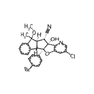 COC1(C)c2ccccc2[C@@H]2[C@@H]1[C@H](C#N)[C@@]1(O)c3ncc(Cl)cc3O[C@@]21c1ccc(Br)cc1